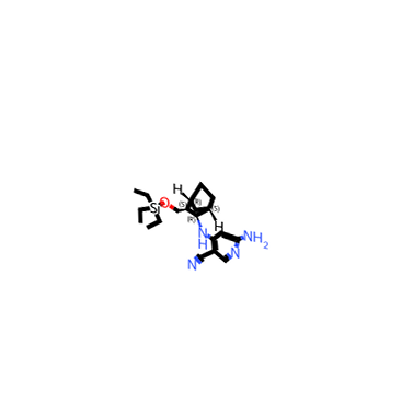 CC[Si](CC)(CC)OC[C@H]1[C@@H]2CC[C@@H](C2)[C@H]1Nc1cc(N)ncc1C#N